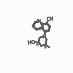 C[C@H]1C[C@@H](O)CN(c2ccc(C#N)c3ncccc23)C1